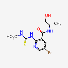 C[C@@H](CO)NC(=O)c1cc(Br)cnc1NC(=S)NC(=O)O